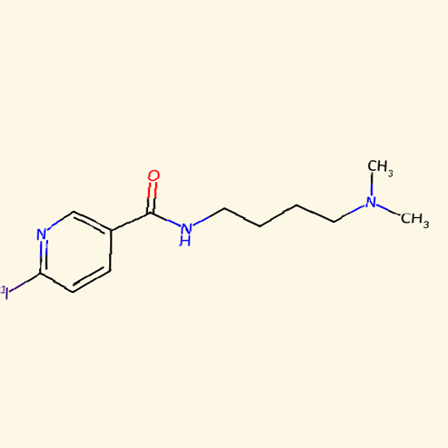 CN(C)CCCCNC(=O)c1ccc([131I])nc1